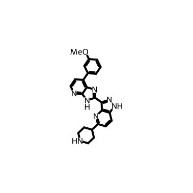 COc1cccc(-c2ccnc3[nH]c(-c4n[nH]c5ccc(C6CCNCC6)nc45)nc23)c1